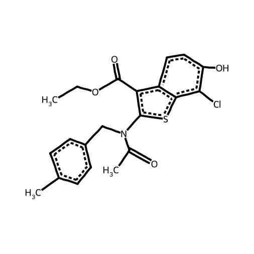 CCOC(=O)c1c(N(Cc2ccc(C)cc2)C(C)=O)sc2c(Cl)c(O)ccc12